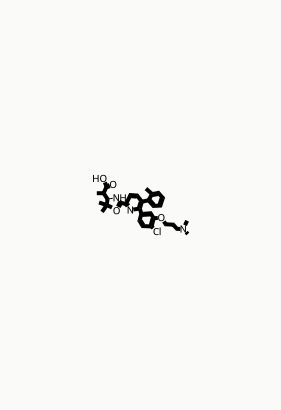 Cc1ccccc1-c1ccc(C(=O)N[C@@H](C(C)C(=O)O)C(C)(C)C)nc1-c1ccc(Cl)c(OCCCN(C)C)c1